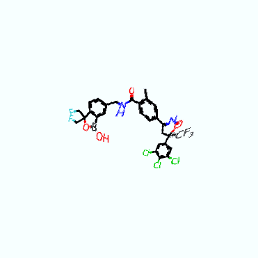 Cc1cc(C2=NO[C@@](c3cc(Cl)c(Cl)c(Cl)c3)(C(F)(F)F)C2)ccc1C(=O)NCc1ccc2c(c1)B(O)OC2(CF)CF